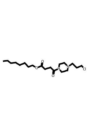 CCCCCCCCOC(=O)CCC(=O)N1CCN(CCCCl)CC1